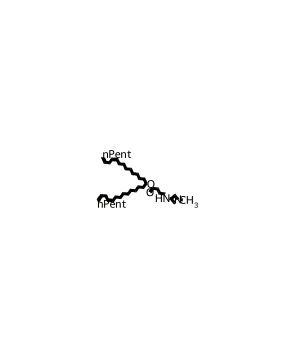 CCCCC/C=C\C/C=C\CCCCCCCCC(CCCCCCCC/C=C\C/C=C\CCCCC)OC(=O)CCCNC1CN(C)C1